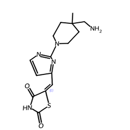 CC1(CN)CCN(c2nccc(/C=C3/SC(=O)NC3=O)n2)CC1